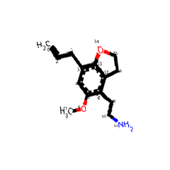 C=CCc1cc(OC)c(CCN)c2c1OCC2